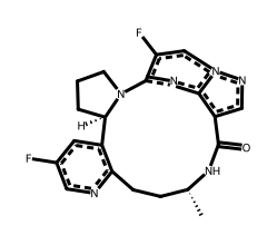 C[C@@H]1CCc2ncc(F)cc2[C@H]2CCCN2c2nc3c(cnn3cc2F)C(=O)N1